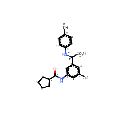 CCc1cc(NC(=O)C2CCCC2)cc(C(Nc2ccc(C#N)cc2)C(=O)O)c1